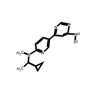 CCNc1cc(-c2ccc(N(C)C(C)C3CC3)nc2)ncn1